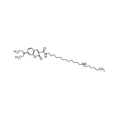 CCCCCCNCCCCCCCCCCCCNC(=O)c1cc2ccc(N(CC)CC)cc2oc1=O